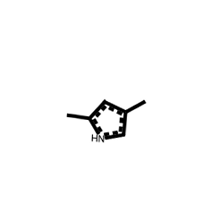 Cc1[c]c(C)[nH]c1